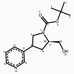 CC(C)(C)OC(=O)N1CC(c2cccnc2)C[C@@H]1CO